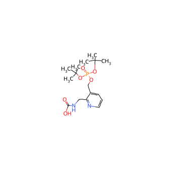 CC(C)(C)OP(=O)(OCc1cccnc1CNC(=O)O)OC(C)(C)C